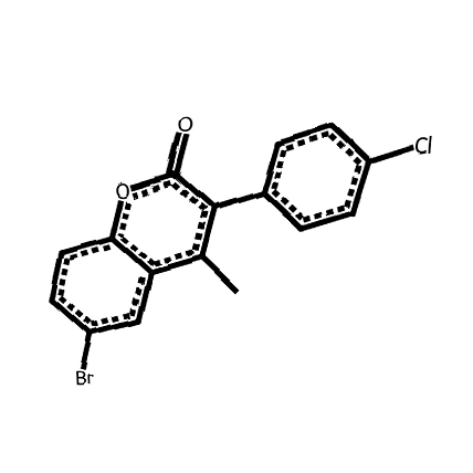 Cc1c(-c2ccc(Cl)cc2)c(=O)oc2ccc(Br)cc12